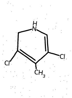 CC1=C(Cl)CNC=C1Cl